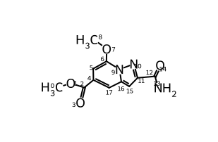 COC(=O)c1cc(OC)n2nc(C(N)=O)cc2c1